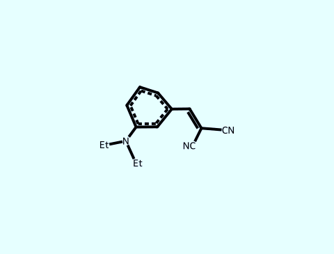 CCN(CC)c1cccc(C=C(C#N)C#N)c1